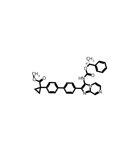 COC(=O)C1(c2ccc(-c3ccc(-c4nc5cnccn5c4NC(=O)O[C@H](C)c4ccccc4)cc3)cc2)CC1